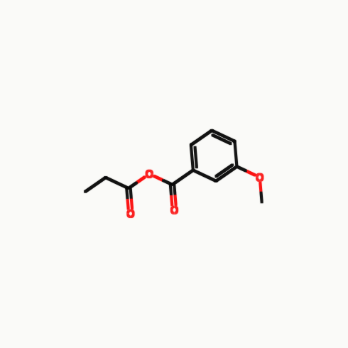 CCC(=O)OC(=O)c1cccc(OC)c1